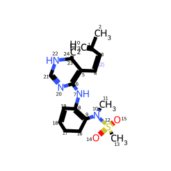 C=C(C)/C=C\C1=C(NC2=C(N(C)S(C)(=O)=O)CCC=C2)N=CNC1C